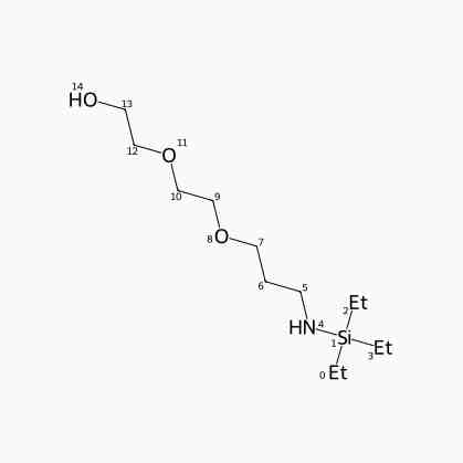 CC[Si](CC)(CC)NCCCOCCOCCO